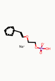 O=P([O-])(O)OCCOC=Cc1ccccc1.[Na+]